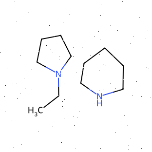 C1CCNCC1.CCN1CCCC1